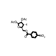 CC(=O)O[C@@H]1O[C@H](COC(=O)c2ccc([N+](=O)[O-])cc2)[C@@H](I)[C@H]1OC(C)=O